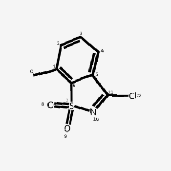 Cc1cccc2c1S(=O)(=O)N=C2Cl